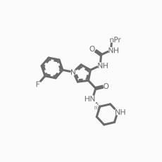 CCCNC(=O)Nc1cn(-c2cccc(F)c2)cc1C(=O)N[C@H]1CCCNC1